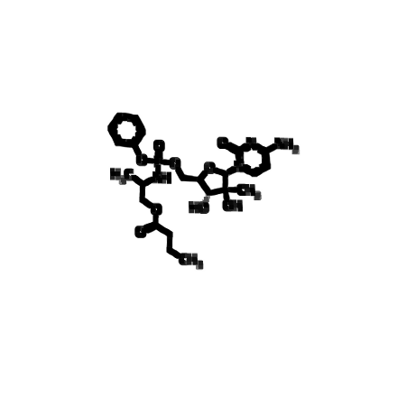 CCCC(=O)OCC(C)NP(=O)(OC[C@H]1O[C@@H](n2ccc(N)nc2=O)[C@](C)(O)[C@@H]1O)Oc1ccccc1